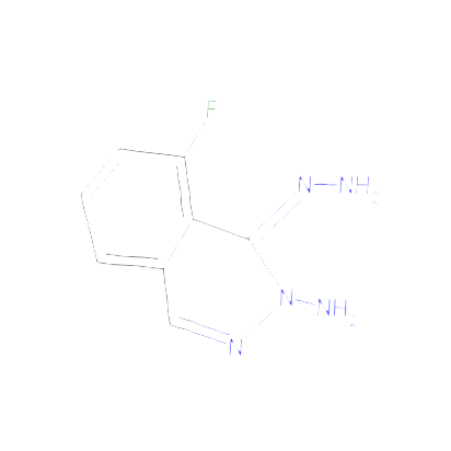 N/N=c1/c2c(F)cccc2cnn1N